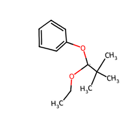 CCO[C](Oc1ccccc1)C(C)(C)C